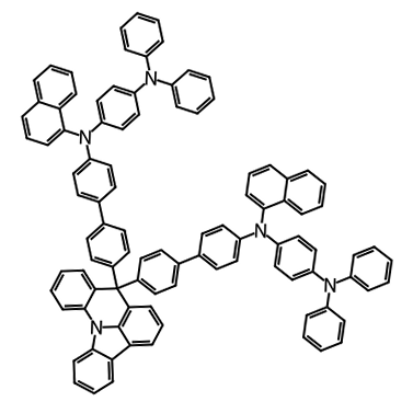 c1ccc(N(c2ccccc2)c2ccc(N(c3ccc(-c4ccc(C5(c6ccc(-c7ccc(N(c8ccc(N(c9ccccc9)c9ccccc9)cc8)c8cccc9ccccc89)cc7)cc6)c6ccccc6-n6c7ccccc7c7cccc5c76)cc4)cc3)c3cccc4ccccc34)cc2)cc1